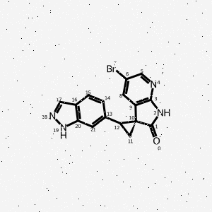 O=C1Nc2ncc(Br)cc2[C@]12CC2c1ccc2cn[nH]c2c1